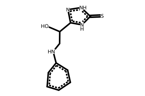 OC(CNc1ccccc1)c1n[nH]c(=S)[nH]1